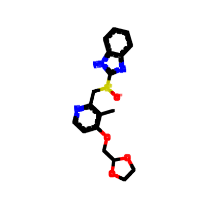 Cc1c(OCC2OCCO2)ccnc1C[S+]([O-])c1nc2ccccc2[nH]1